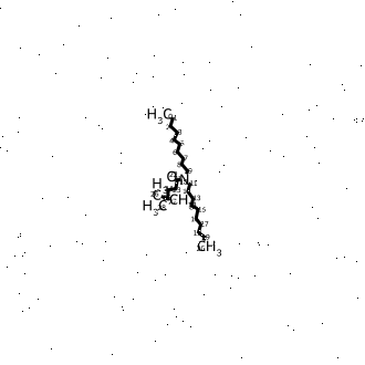 CCCCCCCCCCN(CCCCCCCCCC)C(=O)CCC(C)(C)C